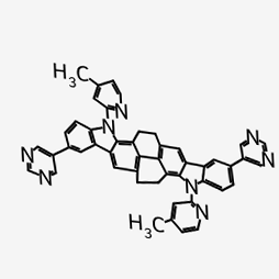 Cc1ccnc(-n2c3ccc(-c4cncnc4)cc3c3cc4c5c(c32)CCc2cc3c6cc(-c7cncnc7)ccc6n(-c6cc(C)ccn6)c3c(c2-5)CC4)c1